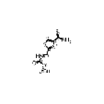 CC(C)(C)OC(=O)NCc1nc(C(N)=S)cs1